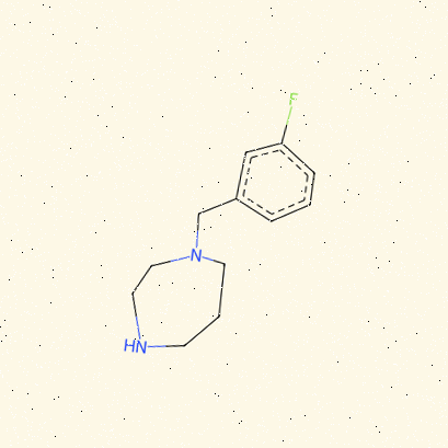 Fc1cccc(CN2CCCNCC2)c1